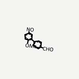 COc1ccc(N=O)cc1-c1ccc(C=O)cc1